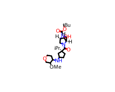 COC1COCCC1NC1CC[C@@](C(=O)N2C[C@@H]3[C@@H](O)[C@H]2CN3C(=O)OC(C)(C)C)(C(C)C)C1